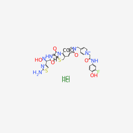 Cl.Cl.Nc1nc(C(=NO)C(=O)N[C@@H]2C(=O)N3C(C(=O)[O-])=C(C=C4CCN(Cc5cc[n+](CC(=O)Nc6ccc(O)c(F)c6)cc5)C4=O)CS[C@H]23)cs1